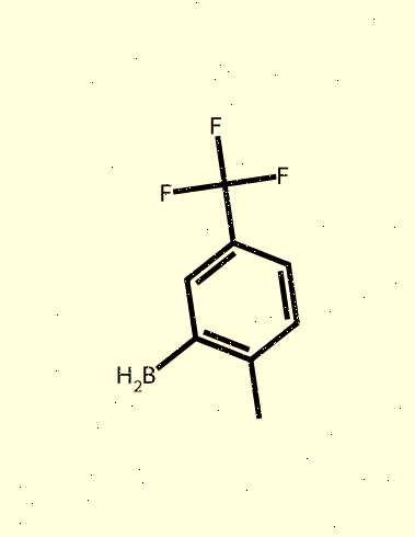 Bc1cc(C(F)(F)F)ccc1C